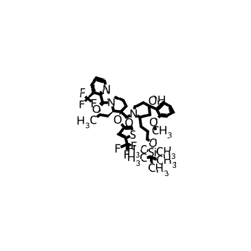 CCC[C@H]1N(C(=O)c2ncccc2C(F)(F)F)CCC[C@@]1(Oc1csc(C(F)(F)F)c1)C(=O)N1CCC(O)(c2ccccc2OC)CC1CCCO[Si](C)(C)C(C)(C)C